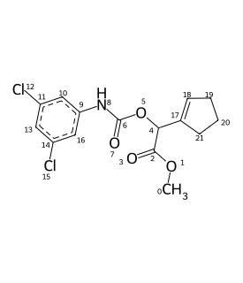 COC(=O)C(OC(=O)Nc1cc(Cl)cc(Cl)c1)C1=CCCC1